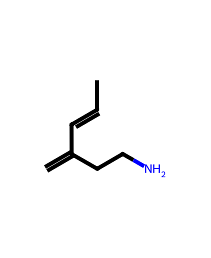 C=C(C=CC)CCN